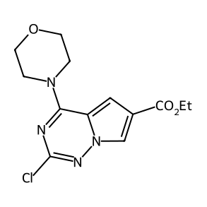 CCOC(=O)c1cc2c(N3CCOCC3)nc(Cl)nn2c1